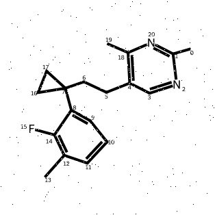 Cc1ncc(CCC2(c3cccc(C)c3F)CC2)c(C)n1